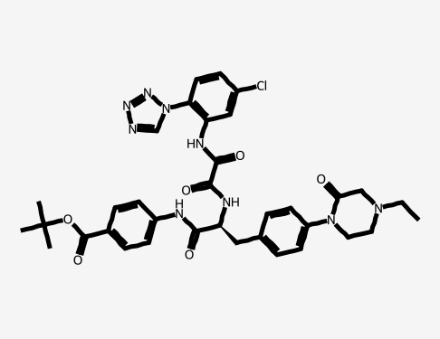 CCN1CCN(c2ccc(C[C@H](NC(=O)C(=O)Nc3cc(Cl)ccc3-n3cnnn3)C(=O)Nc3ccc(C(=O)OC(C)(C)C)cc3)cc2)C(=O)C1